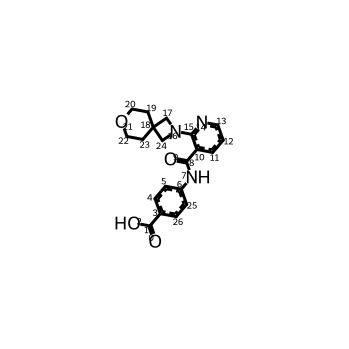 O=C(O)c1ccc(NC(=O)c2cccnc2N2CC3(CCOCC3)C2)cc1